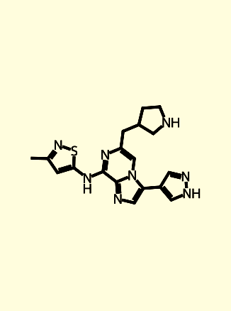 Cc1cc(Nc2nc(CC3CCNC3)cn3c(-c4cn[nH]c4)cnc23)sn1